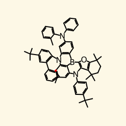 Cc1cc2c3c(c1)N(c1ccc(C(C)(C)C)cc1)c1c(oc4c1C(C)(C)CCC4(C)C)B3c1ccc(N(c3ccccc3)c3ccccc3C)cc1N2c1ccc(C(C)(C)C)cc1-c1ccccc1